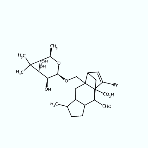 CC(C)C1=CC2CC3(C=O)C4CCC(C)C4CC2(CO[C@@H]2O[C@H](C)[C@]4(O)C(C)(C)[C@]4(O)[C@@H]2O)C13C(=O)O